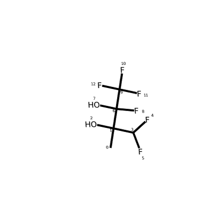 CC(O)(C(F)F)C(O)(F)C(F)(F)F